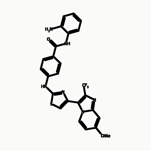 COc1ccn2c(-c3csc(Nc4ccc(C(=O)Nc5ccccc5N)cc4)n3)c(C(F)(F)F)nc2c1